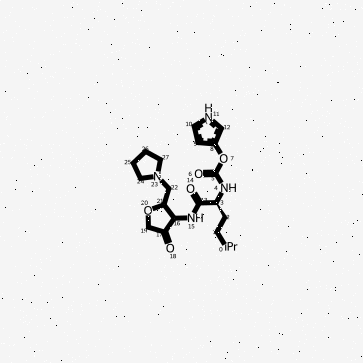 CC(C)CC[C@H](NC(=O)Oc1cc[nH]c1)C(=O)NC1C(=O)COC1CN1CCCC1